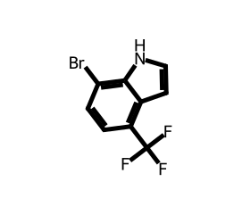 FC(F)(F)c1ccc(Br)c2[nH]ccc12